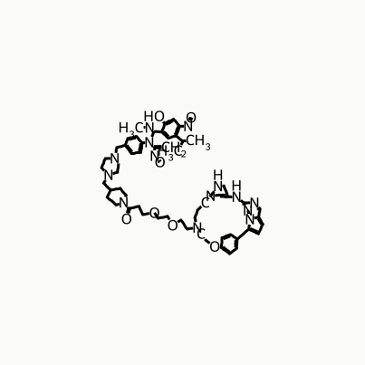 C=C(N=O)N(/C(=N\C)c1cc(C(C)C)c(N=O)cc1O)c1ccc(CN2CCN(CC3CCN(C(=O)CCOCCOCCN4CCCN5C=C(CN5)Nc5ncc6ccc(n6n5)-c5ccc(cc5)OCC4)CC3)CC2)cc1